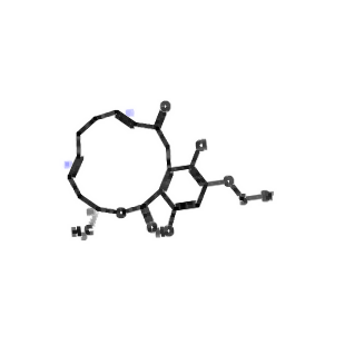 C[C@@H]1C/C=C/CC/C=C/C(=O)Cc2c(Cl)c(OSBr)cc(O)c2C(=O)O1